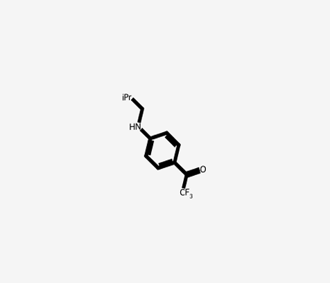 CC(C)CNc1ccc(C(=O)C(F)(F)F)cc1